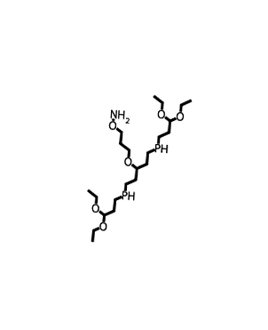 CCOC(CCPCCC(CCPCCC(OCC)OCC)OCCCON)OCC